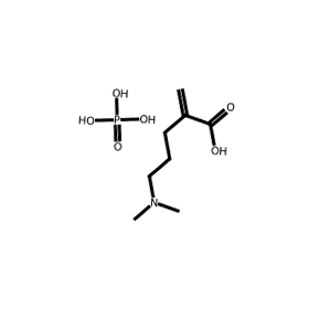 C=C(CCCN(C)C)C(=O)O.O=P(O)(O)O